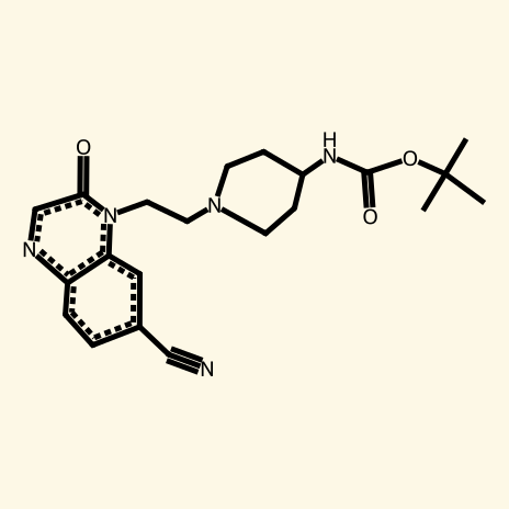 CC(C)(C)OC(=O)NC1CCN(CCn2c(=O)cnc3ccc(C#N)cc32)CC1